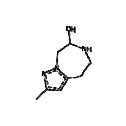 Cc1cc2n(n1)CC(O)NCC2